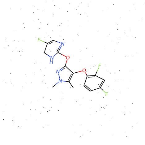 Cc1c(Oc2ccc(F)cc2F)c(OC2=NC=C(F)CN2)nn1C